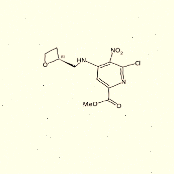 COC(=O)c1cc(NC[C@@H]2CCO2)c([N+](=O)[O-])c(Cl)n1